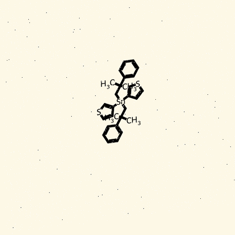 CC(C)([CH2][Sn]([CH2]C(C)(C)c1ccccc1)([c]1ccsc1)[c]1ccsc1)c1ccccc1